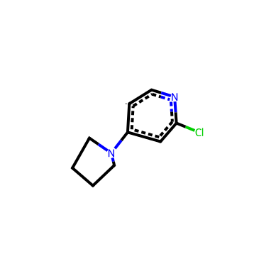 Clc1cc(N2CCCC2)[c]cn1